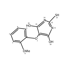 COc1ccccc1Oc1c(O)nc(S)nc1O